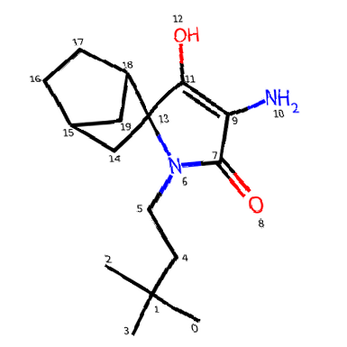 CC(C)(C)CCN1C(=O)C(N)=C(O)C12CC1CCC2C1